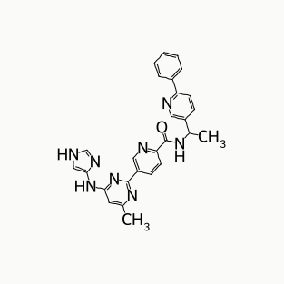 Cc1cc(Nc2c[nH]cn2)nc(-c2ccc(C(=O)NC(C)c3ccc(-c4ccccc4)nc3)nc2)n1